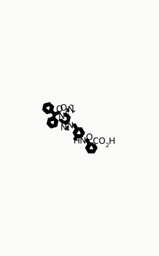 Cc1cc(Cn2cnc3c2C[C@@H](C(=O)N(C)C)N(C(=O)C(c2ccccc2)c2ccccc2)C3)ccc1NC(=O)c1ccccc1C(=O)O